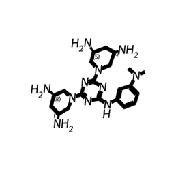 CN(C)c1cccc(Nc2nc(N3C[C@H](N)C[C@H](N)C3)nc(N3C[C@H](N)C[C@H](N)C3)n2)c1